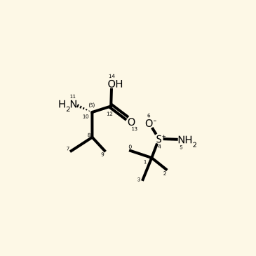 CC(C)(C)[S+](N)[O-].CC(C)[C@H](N)C(=O)O